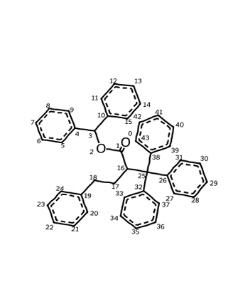 O=C(OC(c1ccccc1)c1ccccc1)C(CCc1ccccc1)C(c1ccccc1)(c1ccccc1)c1ccccc1